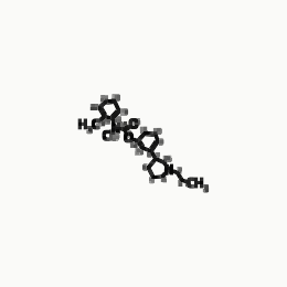 CCCN1CCCC(c2cccc(OC(=O)N(Cl)c3ccccc3C)c2)C1